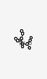 c1ccc(-c2cc(-c3nc(-n4c5ccc(-c6ccc7ccccc7c6)cc5c5c6ccccc6ccc54)nc4ccccc34)cc3c2oc2cc4ccccc4cc23)cc1